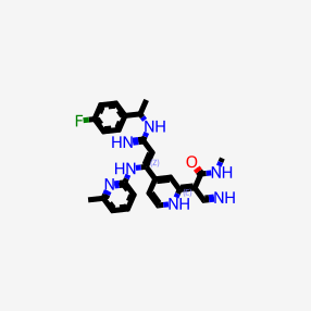 CNC(=O)/C(C=N)=C1C=C(/C(=C/C(=N)NC(C)c2ccc(F)cc2)Nc2cccc(C)n2)C=CN\1